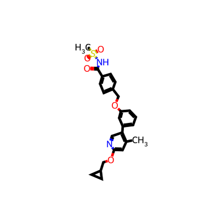 Cc1cc(OCC2CC2)ncc1-c1cccc(OCc2ccc(C(=O)NS(C)(=O)=O)cc2)c1